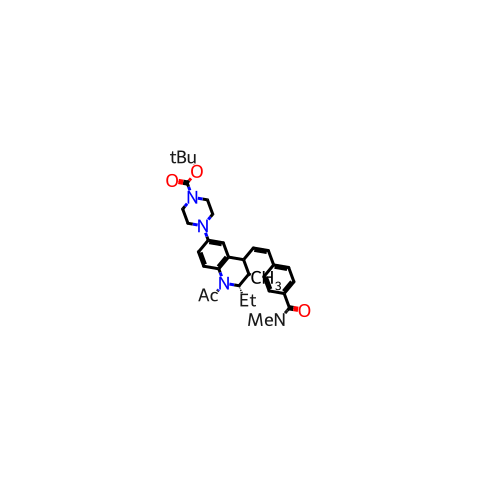 CC[C@H]1[C@H](C)C(/C=C\c2ccc(C(=O)NC)cc2)c2cc(N3CCN(C(=O)OC(C)(C)C)CC3)ccc2N1C(C)=O